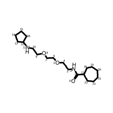 O=C(NCCOCCOCCNC1CCCC1)C1CCCCCC1